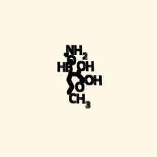 CCCCC(BOCN)C(O)C(=O)O